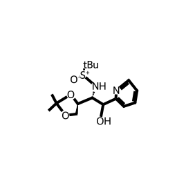 CC1(C)OC[C@H]([C@H](N[S@+]([O-])C(C)(C)C)C(O)c2ccccn2)O1